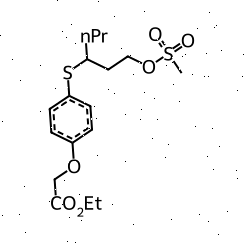 CCCC(CCOS(C)(=O)=O)Sc1ccc(OCC(=O)OCC)cc1